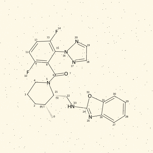 C[C@@H]1CCCN(C(=O)c2c(F)ccc(F)c2-n2nccn2)[C@@H]1CNc1nc2ccccc2o1